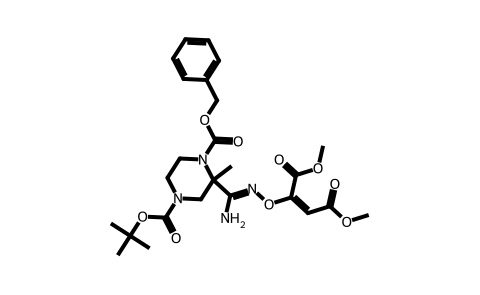 COC(=O)C=C(ON=C(N)C1(C)CN(C(=O)OC(C)(C)C)CCN1C(=O)OCc1ccccc1)C(=O)OC